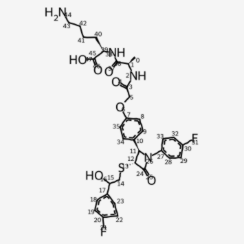 C[C@@H](NC(=O)COc1ccc([C@@H]2[C@@H](SCC(O)c3ccc(F)cc3)C(=O)N2c2ccc(F)cc2)cc1)C(=O)N[C@H](CCCCN)C(=O)O